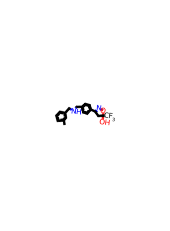 Cc1cccc(CNCc2ccc(C3=NOC(O)(C(F)(F)F)C3)cc2)c1